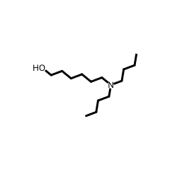 CCCCN(CCCC)CCCCCCO